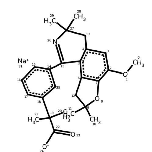 COc1cc2c(c3c1OC(C)(C)C3)C(c1cccc(C(C)(C)C(=O)[O-])c1)=NC(C)(C)C2.[Na+]